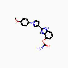 COc1ccc(-n2ccc(-c3nc4c(OC(N)=O)cccc4[nH]3)c2)cc1